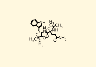 CC(C)N[C@@](C)(CCC(N)=O)C(=O)N[C@@H](Cc1c[nH]c2ccccc12)C(=O)C(C)(C)C